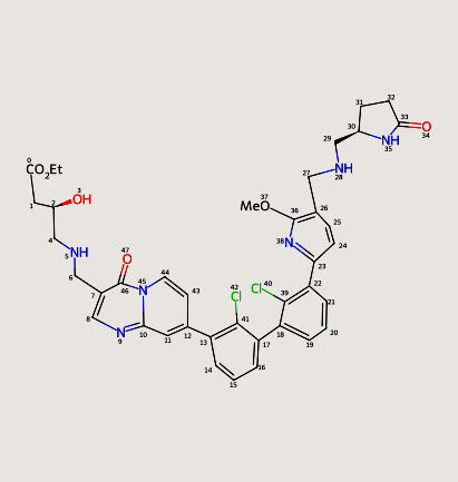 CCOC(=O)C[C@@H](O)CNCc1cnc2cc(-c3cccc(-c4cccc(-c5ccc(CNC[C@H]6CCC(=O)N6)c(OC)n5)c4Cl)c3Cl)ccn2c1=O